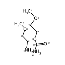 COCCN.COCCOC(N)=O